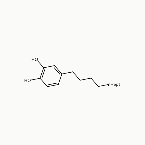 CCCCCCCCCC[CH]c1ccc(O)c(O)c1